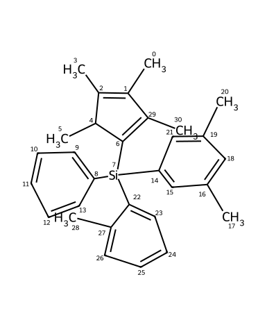 CC1=C(C)C(C)C([Si](c2ccccc2)(c2cc(C)cc(C)c2)c2ccccc2C)=C1C